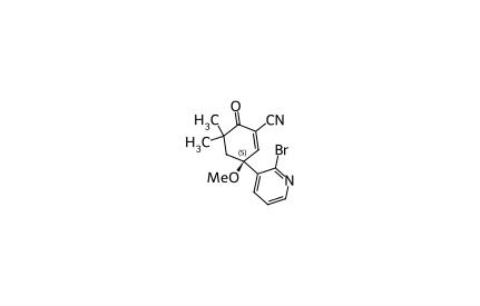 CO[C@]1(c2cccnc2Br)C=C(C#N)C(=O)C(C)(C)C1